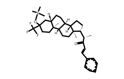 C[C@H](C(=O)/C=C/c1ccccc1)[C@H]1CC[C@H]2[C@@H]3CC[C@H]4CC(O[Si](C)(C)C)(C(F)(F)F)CC[C@]4(C)[C@H]3CC[C@]12C